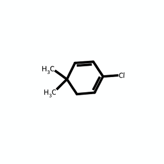 CC1(C)C=CC(Cl)=CC1